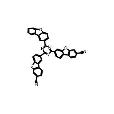 N#Cc1ccc2c(c1)oc1cc(-c3nc(-c4ccc5oc6ccccc6c5c4)nc(-c4ccc5sc6cc(C#N)ccc6c5c4)n3)ccc12